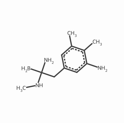 BC(N)(Cc1cc(C)c(C)c(N)c1)NC